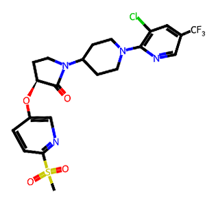 CS(=O)(=O)c1ccc(O[C@H]2CCN(C3CCN(c4ncc(C(F)(F)F)cc4Cl)CC3)C2=O)cn1